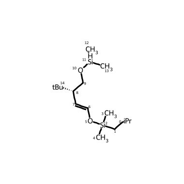 CC(C)C[Si](C)(C)OC=C[C@@H](CO[SiH](C)C)C(C)(C)C